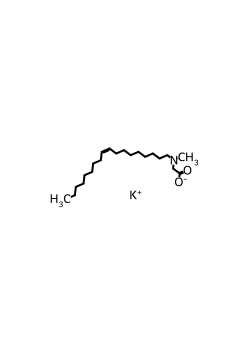 CCCCCCCC/C=C\CCCCCCCCN(C)CC(=O)[O-].[K+]